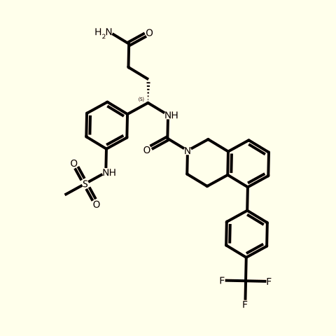 CS(=O)(=O)Nc1cccc([C@H](CCC(N)=O)NC(=O)N2CCc3c(cccc3-c3ccc(C(F)(F)F)cc3)C2)c1